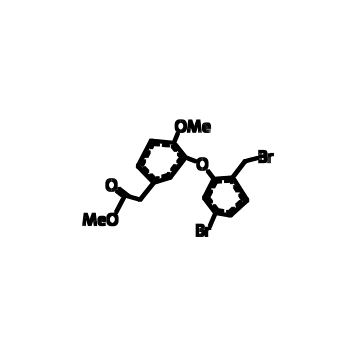 COC(=O)Cc1ccc(OC)c(Oc2cc(Br)ccc2CBr)c1